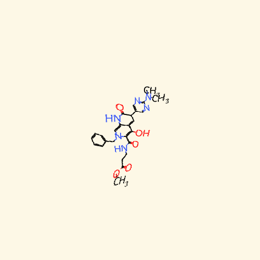 COC(=O)CCNC(=O)C1=C(O)C2=CC(c3cnc(N(C)C)nc3)C(=O)NC2=CN1Cc1ccccc1